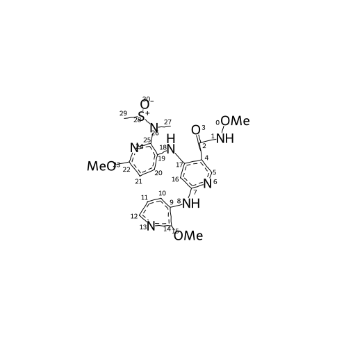 CONC(=O)c1cnc(Nc2cccnc2OC)cc1Nc1ccc(OC)nc1N(C)[S+](C)[O-]